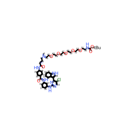 CN(C/C=C/C(=O)Nc1ccc(C(=O)Nc2cccc(Nc3ncc(Cl)c(-c4c[nH]c5ccccc45)n3)c2)cc1)CCOCCOCCOCCOCCOCCNC(=O)OC(C)(C)C